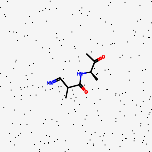 CC(=O)[C@@H](C)NC(=O)C(C)C=N